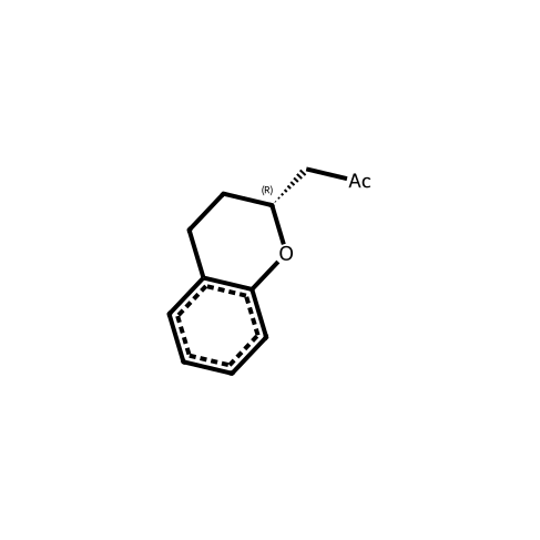 CC(=O)C[C@H]1CCc2ccccc2O1